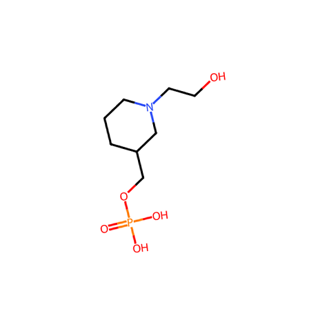 O=P(O)(O)OCC1CCCN(CCO)C1